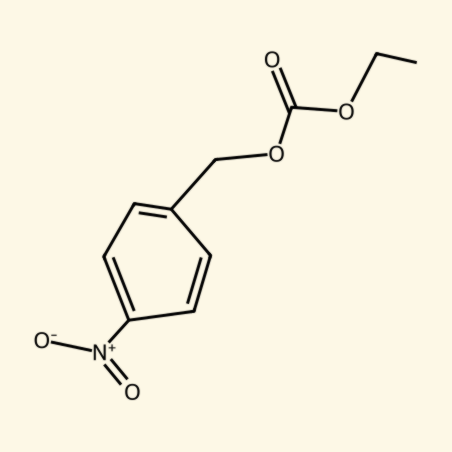 CCOC(=O)OCc1ccc([N+](=O)[O-])cc1